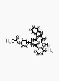 CC(=O)CN1CCN(c2nc(N3CCO[C@H](C)[C@@H]3C)nc(-n3c(C(F)F)nc4ccccc43)n2)CC1